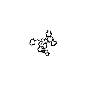 Cl.[Cl-].c1ccc(CCC(Cc2ccccc2)(Cc2ccccc2)[N+]2(Cc3ccccc3)CCNCC2Cc2ccccc2)cc1